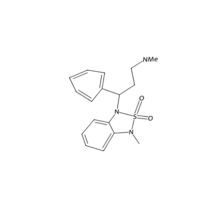 CNCCC(c1ccccc1)N1c2ccccc2N(C)S1(=O)=O